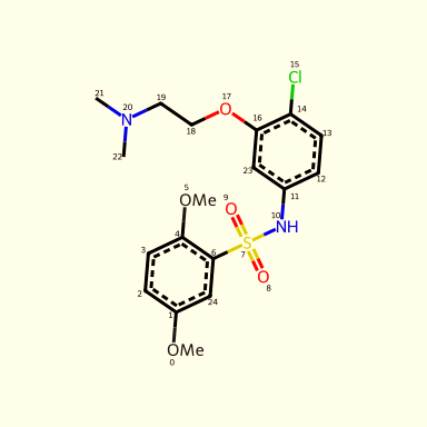 COc1ccc(OC)c(S(=O)(=O)Nc2ccc(Cl)c(OCCN(C)C)c2)c1